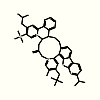 C=C1CC2C(CCc3ccc4c(oc5nc(C(C)C)ccc54)c3-c3cc(CC(C)(C)C)c(C)c[n+]3C1)c1ccccc1-c1cc(CC(C)C)c([Si](C)(C)C)c[n+]12